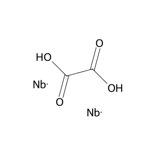 O=C(O)C(=O)O.[Nb].[Nb]